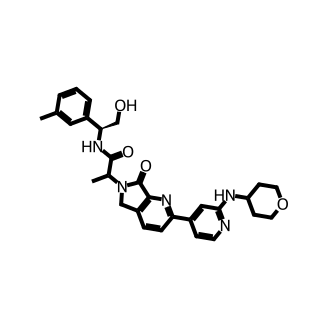 Cc1cccc([C@@H](CO)NC(=O)C(C)N2Cc3ccc(-c4ccnc(NC5CCOCC5)c4)nc3C2=O)c1